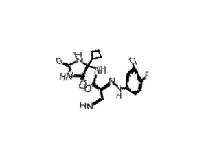 N=C/C(=N\Nc1ccc(F)c(Cl)c1)C(=O)NC1(C2CCC2)NC(=O)NC1=O